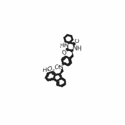 O=C1NC2(CCCCC2)C(=O)N[C@H]1Cc1ccc(N(CC2c3ccccc3-c3ccccc32)C(=O)O)cc1